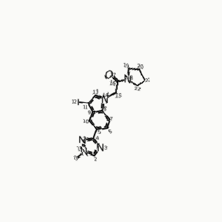 Cn1cnc(-c2ccc3c(c2)c(I)cn3CC(=O)N2CCCC2)n1